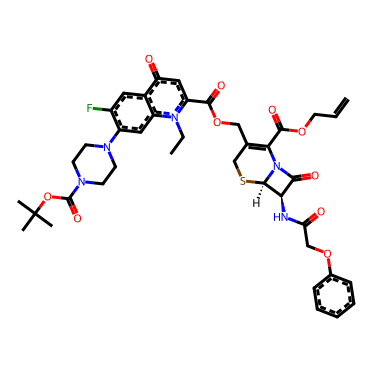 C=CCOC(=O)C1=C(COC(=O)c2cc(=O)c3cc(F)c(N4CCN(C(=O)OC(C)(C)C)CC4)cc3n2CC)CS[C@@H]2[C@H](NC(=O)COc3ccccc3)C(=O)N12